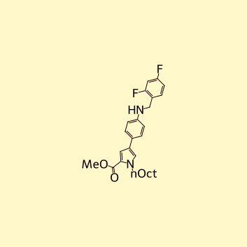 CCCCCCCCn1cc(-c2ccc(NCc3ccc(F)cc3F)cc2)cc1C(=O)OC